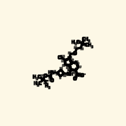 CC(C)(C)OC(=O)NC1CC(Nc2c([N+](=O)[O-])cnc3c2cc(Cl)n3COCC[Si](C)(C)C)C1